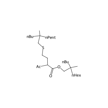 CCCCCCC(C)(CCCC)COC(=O)C(CCSCC(C)(CCCC)CCCCC)C(C)=O